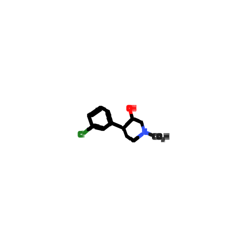 O=C(O)N1CCC(c2cccc(Cl)c2)C(O)C1